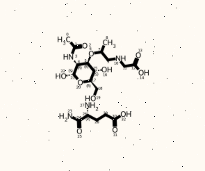 CC(=O)N[C@@H]1[C@@H](OC(C)CNCC(=O)O)[C@H](O)[C@@H](CO)O[C@@H]1O.NC(=O)[C@H](N)CCC(=O)O